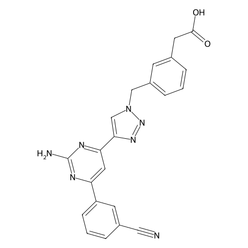 N#Cc1cccc(-c2cc(-c3cn(Cc4cccc(CC(=O)O)c4)nn3)nc(N)n2)c1